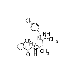 Cc1[nH]c(-c2ccc(Cl)cc2)nc1CC(C)(C)NCC(=O)N1CCC[C@H]1C#N